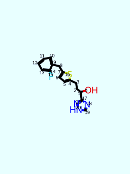 OC(CCc1ccc(Cc2ccccc2F)s1)c1nc[nH]n1